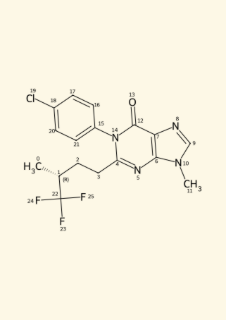 C[C@H](CCc1nc2c(ncn2C)c(=O)n1-c1ccc(Cl)cc1)C(F)(F)F